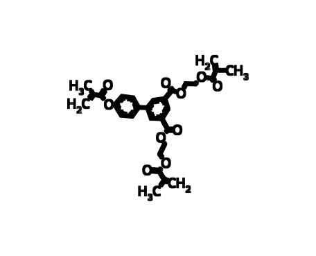 C=C(C)C(=O)OCCOC(=O)c1cc(C(=O)OCCOC(=O)C(=C)C)cc(-c2ccc(OC(=O)C(=C)C)cc2)c1